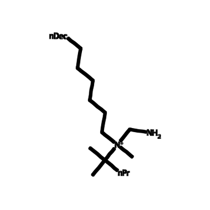 CCCCCCCCCCCCCCCC[N+](C)(CN)C(C)(C)CCC